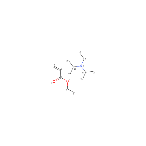 C=CC(=O)OCC.CCN(C(C)C)C(C)C